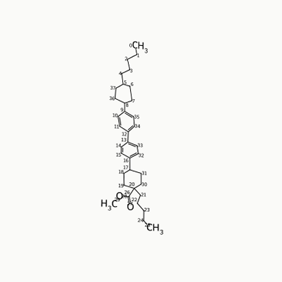 CCCCCC1CCC(c2ccc(-c3ccc(C4CCC(CCCCC)(C(=O)OC)CC4)cc3)cc2)CC1